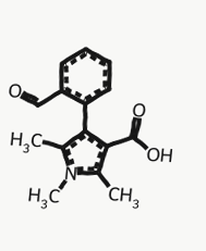 Cc1c(C(=O)O)c(-c2ccccc2C=O)c(C)n1C